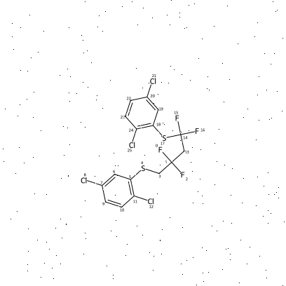 FC(F)(CSc1cc(Cl)ccc1Cl)CC(F)(F)Sc1cc(Cl)ccc1Cl